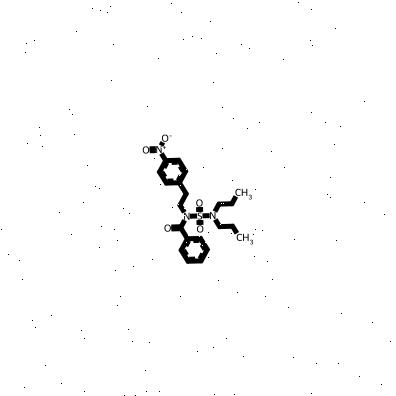 CCCN(CCC)S(=O)(=O)N(CCc1ccc([N+](=O)[O-])cc1)C(=O)c1ccccc1